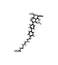 CNC(=O)C(C(=O)NO)N(C)C(=O)c1ccc(-c2ccc(OCCOCCOCCO)cc2)cc1